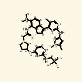 Cc1cnc(Nc2cc(C)n(C)n2)nc1C1=CCc2c1ccc(N(C)C)c2NC(=O)CN1CCC(Oc2ccnc(NCC(F)(F)F)n2)C1